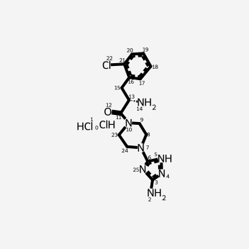 Cl.Cl.Nc1n[nH]c(N2CCN(C(=O)[C@@H](N)Cc3ccccc3Cl)CC2)n1